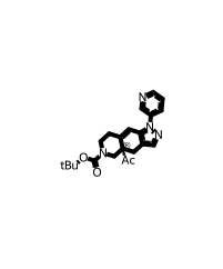 CC(=O)[C@]12Cc3cnn(-c4cccnc4)c3C=C1CCN(C(=O)OC(C)(C)C)C2